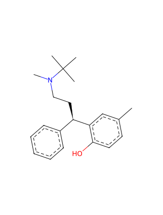 Cc1ccc(O)c([C@H](CCN(C)C(C)(C)C)c2ccccc2)c1